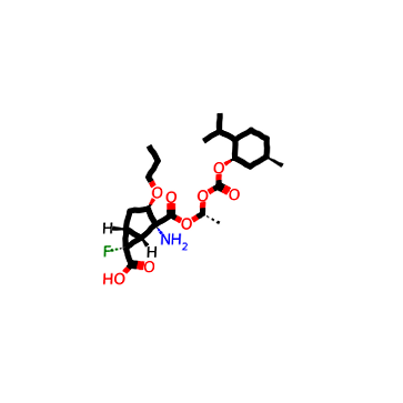 CCCO[C@@H]1C[C@@H]2[C@H]([C@]1(N)C(=O)O[C@@H](C)OC(=O)O[C@@H]1C[C@H](C)CCC1C(C)C)[C@@]2(F)C(=O)O